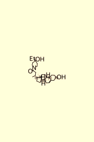 CCC1(O)CCN(C(=O)CC(C)[C@H]2CC[C@H]3[C@@H]4CC=C5C[C@@H](O)CC[C@]5(C)[C@H]4CC[C@]23C)CC1